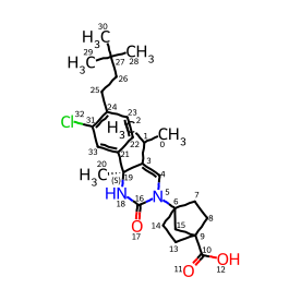 CC(C)C1=CN(C23CCC(C(=O)O)(CC2)C3)C(=O)N[C@@]1(C)c1ccc(CCC(C)(C)C)c(Cl)c1